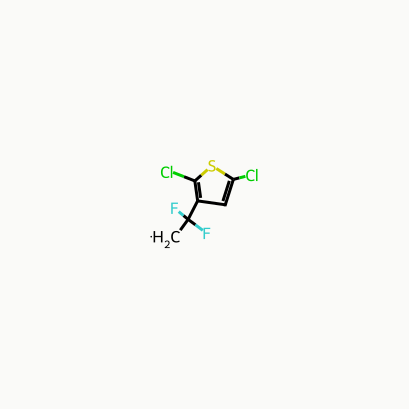 [CH2]C(F)(F)c1cc(Cl)sc1Cl